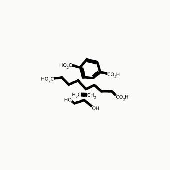 C=C.O=C(O)CCCCCCCC(=O)O.O=C(O)c1ccc(C(=O)O)cc1.OCCO